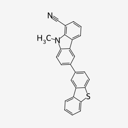 Cn1c2ccc(-c3ccc4sc5ccccc5c4c3)cc2c2cccc(C#N)c21